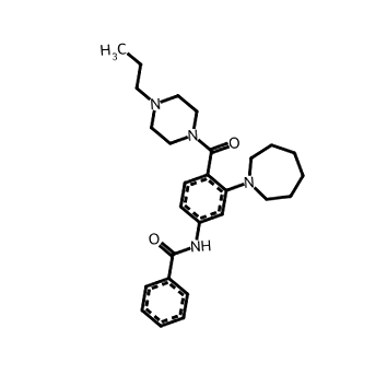 CCCN1CCN(C(=O)c2ccc(NC(=O)c3ccccc3)cc2N2CCCCCC2)CC1